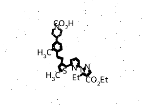 CCOC(=O)c1cnn(-c2cccc(-c3sc(C)cc3C=Cc3ccc(C4CCN(C(=O)O)CC4)cc3C)n2)c1CC